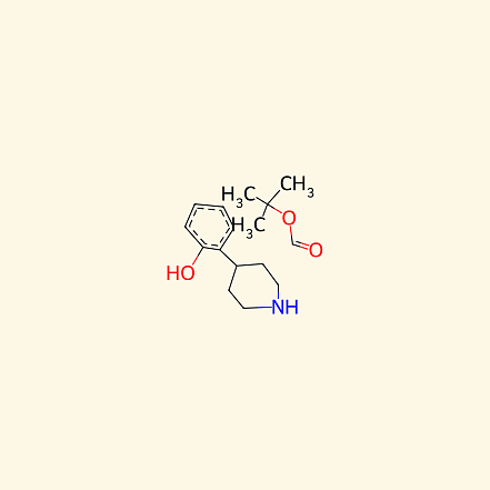 CC(C)(C)OC=O.Oc1ccccc1C1CCNCC1